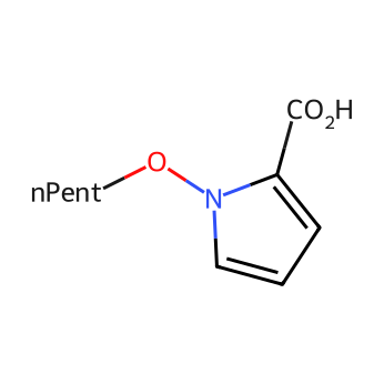 CCCCCOn1cccc1C(=O)O